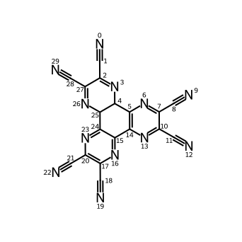 N#CC1=NC2c3nc(C#N)c(C#N)nc3-c3nc(C#N)c(C#N)nc3C2N=C1C#N